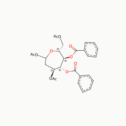 CC(=O)OC[C@H]1OC(OC(C)=O)C[C@H](OC(C)=O)[C@@H](OC(=O)c2ccccc2)[C@@H]1OC(=O)c1ccccc1